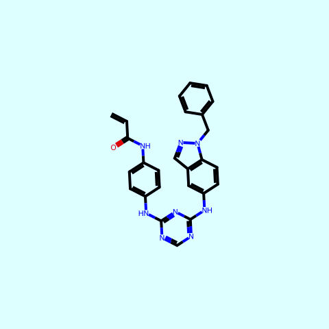 C=CC(=O)Nc1ccc(Nc2ncnc(Nc3ccc4c(cnn4Cc4ccccc4)c3)n2)cc1